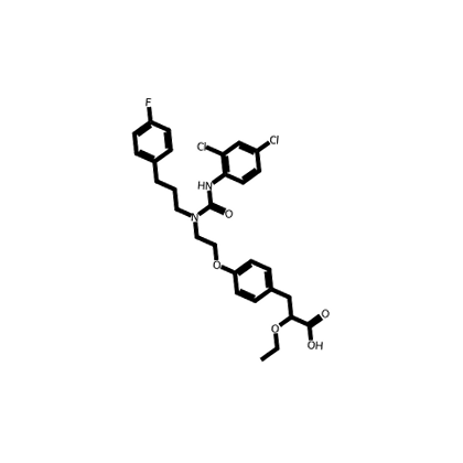 CCOC(Cc1ccc(OCCN(CCCc2ccc(F)cc2)C(=O)Nc2ccc(Cl)cc2Cl)cc1)C(=O)O